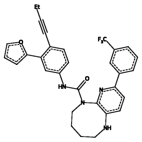 CCC#Cc1ccc(NC(=O)N2CCCCNc3ccc(-c4cccc(C(F)(F)F)c4)nc32)cc1-c1ccco1